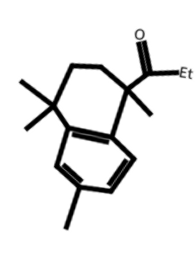 CCC(=O)C1(C)CCC(C)(C)c2cc(C)ccc21